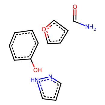 NC=O.Oc1ccccc1.c1ccoc1.c1cn[nH]c1